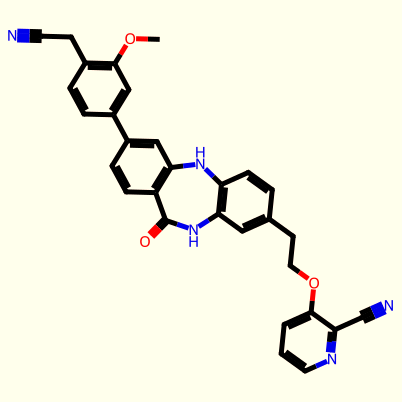 COc1cc(-c2ccc3c(c2)Nc2ccc(CCOc4cccnc4C#N)cc2NC3=O)ccc1CC#N